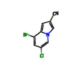 N#Cc1cc2c(Br)cc(Cl)cn2c1